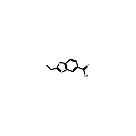 CCc1nc2cc(C(=O)O)ccc2s1